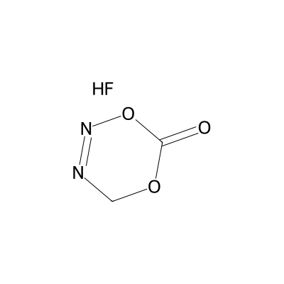 F.O=C1OCN=NO1